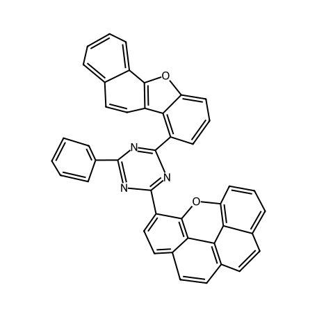 c1ccc(-c2nc(-c3ccc4ccc5ccc6cccc7c6c5c4c3O7)nc(-c3cccc4oc5c6ccccc6ccc5c34)n2)cc1